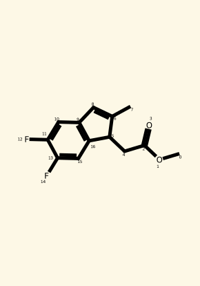 COC(=O)CC1C(C)=Cc2cc(F)c(F)cc21